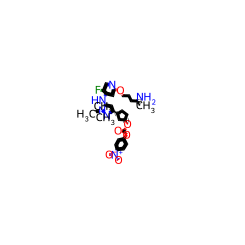 C[C@H](N)CCCOc1cc(Nc2cc([C@H]3CC[C@@H](OC(=O)Oc4ccc([N+](=O)[O-])cc4)C3)nn2C(C)(C)C)c(F)cn1